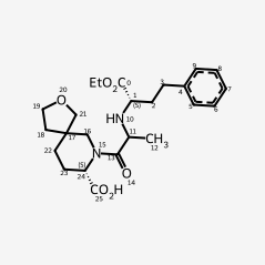 CCOC(=O)[C@H](CCc1ccccc1)NC(C)C(=O)N1CC2(CCOC2)CC[C@H]1C(=O)O